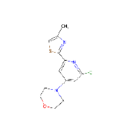 Cc1csc(-c2cc(N3CCOCC3)cc(Cl)n2)n1